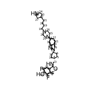 O=C(NC[C@H]1CC[C@H](n2cc3ccc(N4CCN(CCCCC5CCNCC5)CC4)cc3n2)CC1)c1cc(F)c(O)c(F)c1F